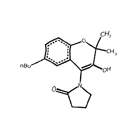 CCCCc1ccc2c(c1)C(N1CCCC1=O)=C(O)C(C)(C)O2